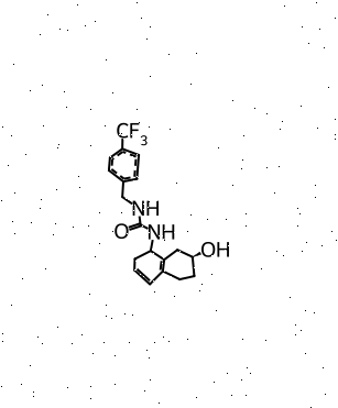 O=C(NCc1ccc(C(F)(F)F)cc1)NC1CC=CC2=C1C[C@@H](O)CC2